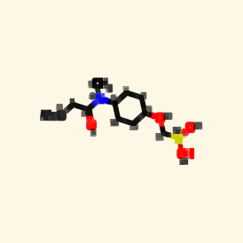 COCC(=O)N(C)[C@H]1CC[C@@H](OCS(=O)O)CC1